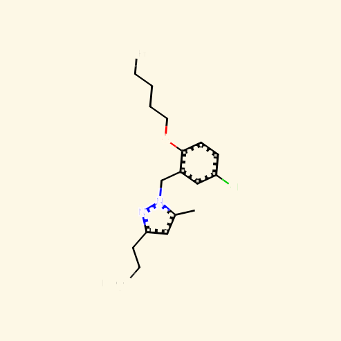 Cc1cc(CCC(=O)O)nn1Cc1cc(Cl)ccc1OCCCCC(C)C